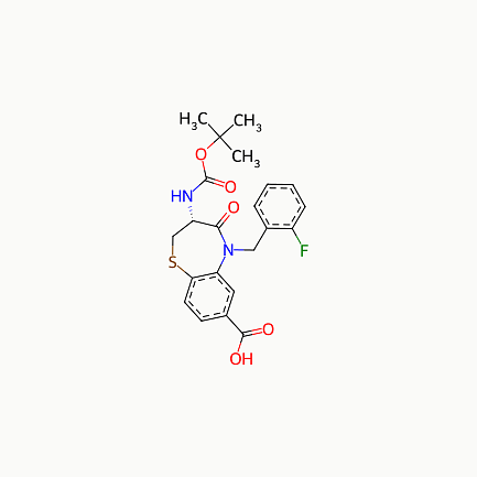 CC(C)(C)OC(=O)N[C@H]1CSc2ccc(C(=O)O)cc2N(Cc2ccccc2F)C1=O